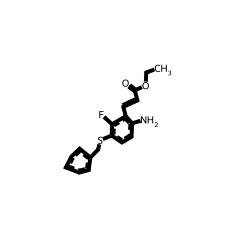 CCOC(=O)/C=C/c1c(N)ccc(SCc2ccccc2)c1F